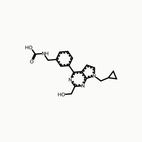 O=C(O)NCc1cccc(-c2nc(CO)nc3c2ccn3CC2CC2)c1